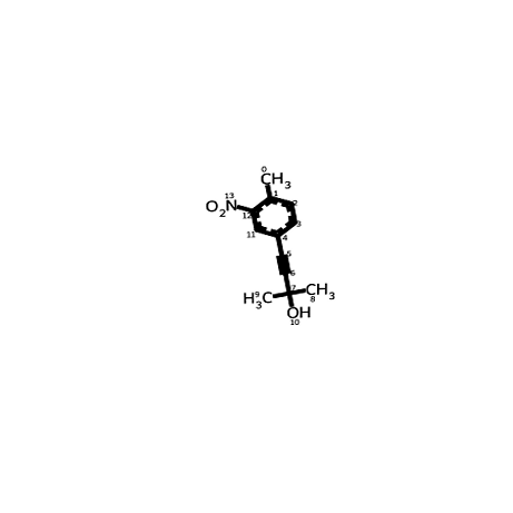 Cc1ccc(C#CC(C)(C)O)cc1[N+](=O)[O-]